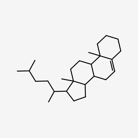 CC(C)CCC(C)C1CCC2C3CC=C4CCCCC4(C)C3CCC12C